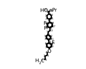 C=CCCCOc1ccc(-c2ccc(CCc3ccc(C4=CCC(C(O)CCC)CC4)c(F)c3F)cc2)c(F)c1